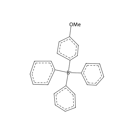 COc1ccc([B-](c2ccccc2)(c2ccccc2)c2ccccc2)cc1